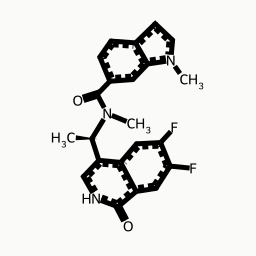 C[C@H](c1c[nH]c(=O)c2cc(F)c(F)cc12)N(C)C(=O)c1ccc2ccn(C)c2c1